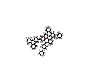 c1ccc(-c2ccc(C(c3cccc(-c4ccc5c6ccccc6c6ccccc6c5c4)c3)c3cccc(-c4cccc5c4oc4ccccc45)c3-c3cccc(-c4ccccc4)c3)cc2)cc1